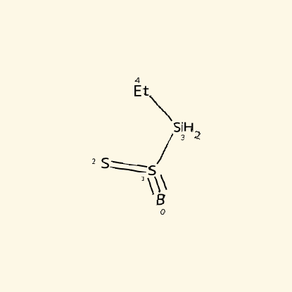 B#S(=S)[SiH2]CC